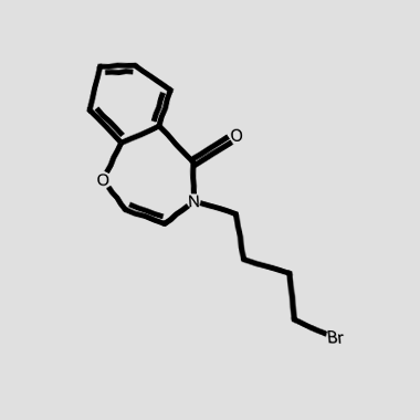 O=C1c2ccccc2OC=CN1CCCCBr